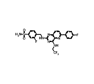 NS(=O)(=O)c1ccc(CNc2nc(NCC(F)(F)F)c3nc(-c4ccc(F)cc4)ccc3n2)c(F)c1